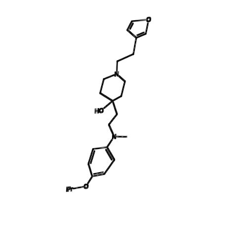 CC(C)Oc1ccc(N(C)CCC2(O)CCN(CCc3ccoc3)CC2)cc1